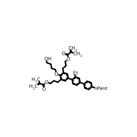 C=C(C)C(=O)OCCCc1cc(-c2ccc(-c3ccc(CCCCC)cc3)cc2CC)cc(CCCOC(=O)C(=C)C)c1OCCCCO